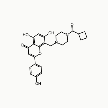 O=C(C1CCC1)N1CCN(Cc2c(O)cc(O)c3c(=O)cc(-c4ccc(O)cc4)oc23)CC1